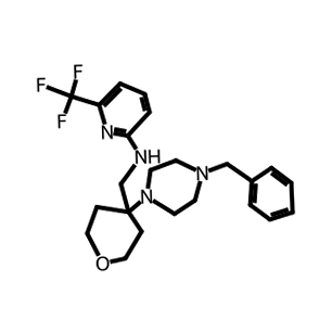 FC(F)(F)c1cccc(NCC2(N3CCN(Cc4ccccc4)CC3)CCOCC2)n1